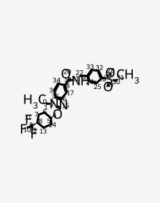 CCn1c(O[C@H]2CC[C@H](C(F)(F)F)CC2)nc2cc(C(=O)NCc3ccc(S(=O)(=O)CC)cc3)ccc21